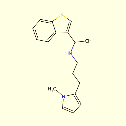 CC(NCCCc1cccn1C)c1csc2ccccc12